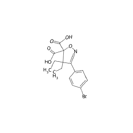 CCC1(CC)C(c2ccc(Br)cc2)=NOC1(C(=O)O)C(=O)O